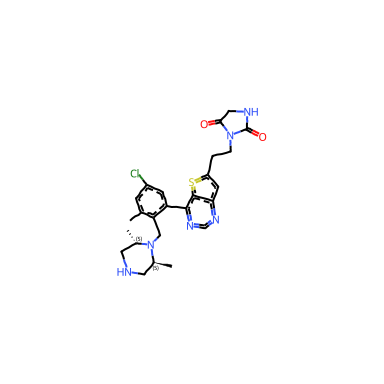 Cc1cc(Cl)cc(-c2ncnc3cc(CCN4C(=O)CNC4=O)sc23)c1CN1[C@@H](C)CNC[C@@H]1C